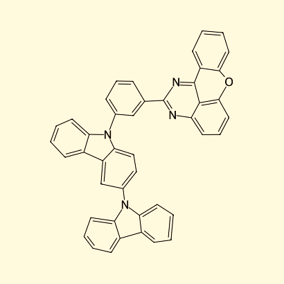 c1cc(-c2nc3c4c(cccc4n2)Oc2ccccc2-3)cc(-n2c3ccccc3c3cc(-n4c5ccccc5c5ccccc54)ccc32)c1